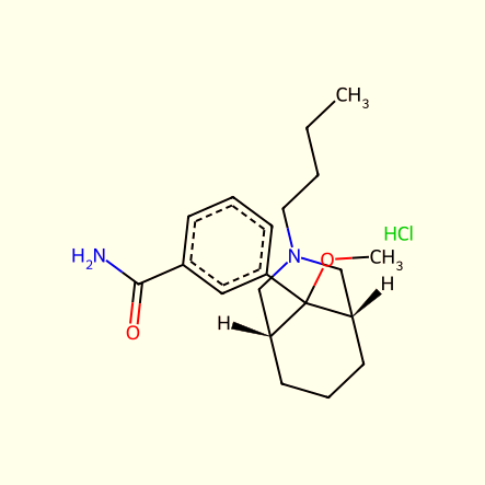 CCCCN1C[C@H]2CCC[C@@H](C1)C2(OC)c1cccc(C(N)=O)c1.Cl